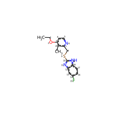 CCOc1ccnc(CSc2nc3cc(F)ccc3[nH]2)c1C